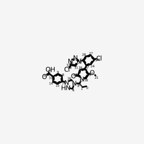 CC[C@@H](N1CNN(c2ccc(C(=O)O)cc2)C1)n1cc(OC)c(-c2cc(Cl)ccc2-n2cc(Cl)nn2)cc1=O